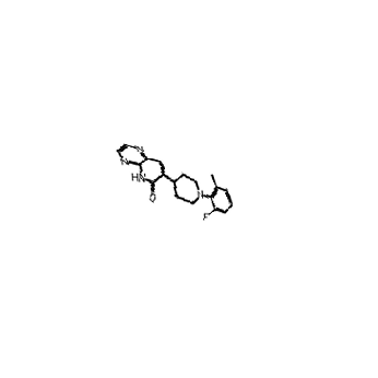 Cc1cccc(F)c1N1CCC(c2cc3nccnc3[nH]c2=O)CC1